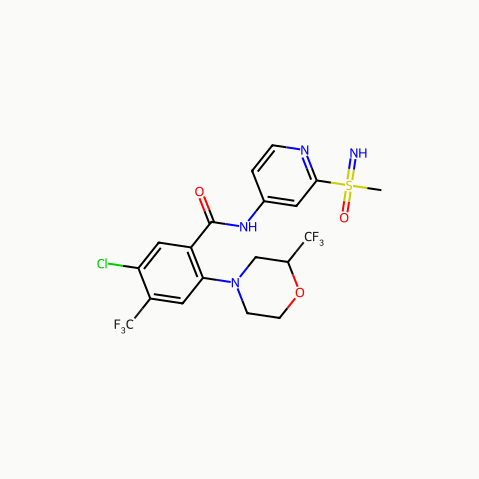 CS(=N)(=O)c1cc(NC(=O)c2cc(Cl)c(C(F)(F)F)cc2N2CCOC(C(F)(F)F)C2)ccn1